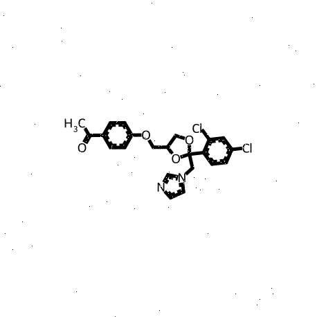 CC(=O)c1ccc(OCC2COC(Cn3ccnc3)(c3ccc(Cl)cc3Cl)O2)cc1